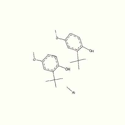 COc1ccc(O)c(C(C)(C)C)c1.COc1ccc(O)c(C(C)(C)C)c1.[CH3][Al]